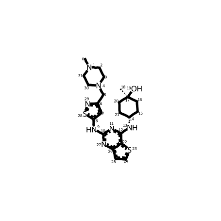 CN1CCN(Cc2cc(Nc3nc(N[C@H]4CC[C@](C)(O)CC4)c4sccc4n3)sn2)CC1